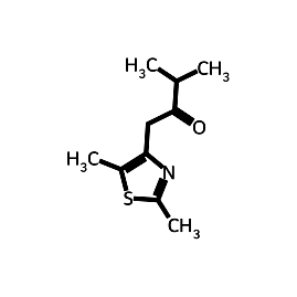 Cc1nc(CC(=O)C(C)C)c(C)s1